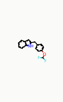 FC(F)Oc1ccc(Cc2cc3ccccc3[nH]2)cc1